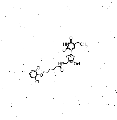 CCc1cn([C@H]2C[C@H](O)[C@@H](CNC(=O)CCCCCOc3c(Cl)cccc3Cl)O2)c(=O)[nH]c1=O